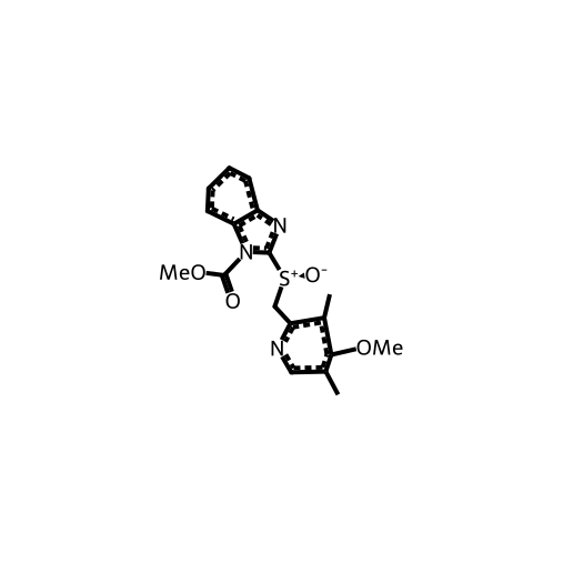 COC(=O)n1c([S@@+]([O-])Cc2ncc(C)c(OC)c2C)nc2ccccc21